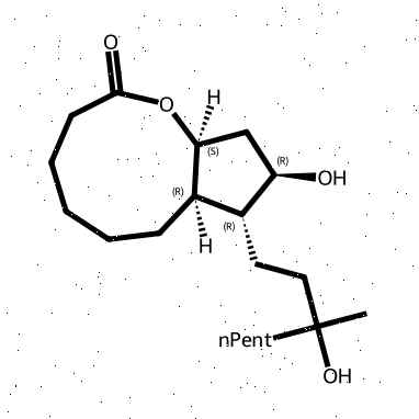 CCCCCC(C)(O)CC[C@@H]1[C@H]2CCCCCC(=O)O[C@H]2C[C@H]1O